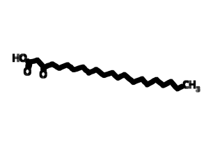 CCCCCCCCCCCCCCCCCCCC(=O)CC(=O)O